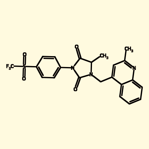 Cc1cc(CN2C(=O)N(c3ccc(S(=O)(=O)C(F)(F)F)cc3)C(=O)C2C)c2ccccc2n1